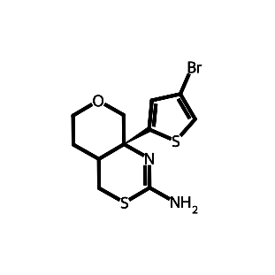 NC1=N[C@@]2(c3cc(Br)cs3)COCCC2CS1